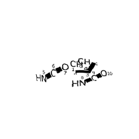 C.C.C=CC.N=C=O.N=C=O